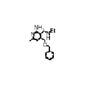 CCNCc1c(COCc2ccccc2)cc(C)nc1N